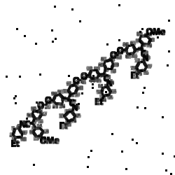 CCc1ccc(N=C=C(c2ccc(OC)cc2)c2ccc(OCOc3ccc(C(=C=Nc4ccc(CC)cc4)c4ccc(OCOc5ccc(C(=C=Nc6ccc(CC)cc6)c6ccc(OCOc7ccc(C(=C=Nc8ccc(CC)cc8)c8ccc(OC)cc8)cc7)cc6)cc5)cc4)cc3)cc2)cc1